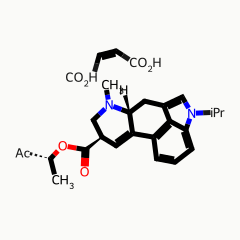 CC(=O)[C@@H](C)OC(=O)[C@@H]1C=C2c3cccc4c3c(cn4C(C)C)C[C@H]2N(C)C1.O=C(O)/C=C\C(=O)O